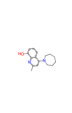 Cc1cc(N2CCCCCC2)c2cccc(O)c2n1